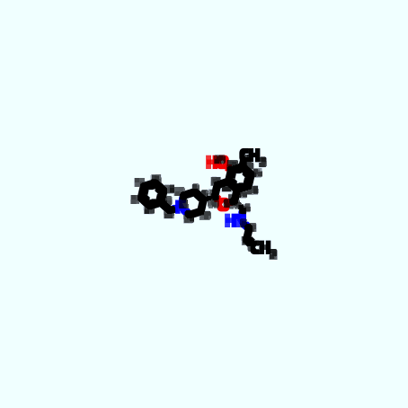 C=CCNC[C@@H]1O[C@H](C2CCN(Cc3ccccc3)CC2)Cc2c1ccc(C)c2O